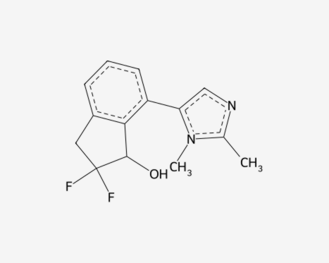 Cc1ncc(-c2cccc3c2C(O)C(F)(F)C3)n1C